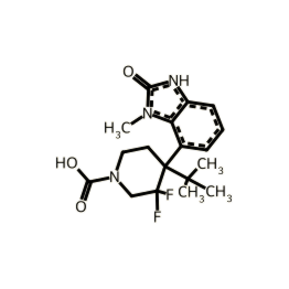 Cn1c(=O)[nH]c2cccc(C3(C(C)(C)C)CCN(C(=O)O)CC3(F)F)c21